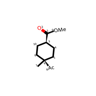 COC(=O)[C@H]1CC[C@@](C)(C(C)=O)CC1